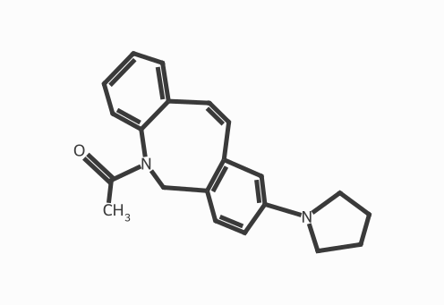 CC(=O)N1Cc2ccc(N3CCCC3)cc2/C=C\c2ccccc21